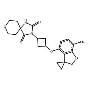 N#Cc1ccc(OC2CC(N3C(=O)NC4(CCOCC4)C3=O)C2)c2c1OCC21CC1